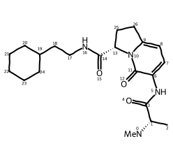 CN[C@@H](C)C(=O)Nc1ccc2n(c1=O)[C@H](C(=O)NCCC1CCCCC1)CC2